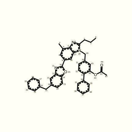 CCCc1nc2c(C)cc(-c3nc4cc(Cc5ccccc5)ccc4o3)cc2n1Cc1ccc(-c2ccccc2)c(OC(C)=O)c1